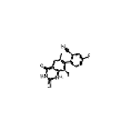 Cc1cc2c(=O)[nH]c(=O)[nH]c2c(I)c1-c1ccc(F)cc1C#N